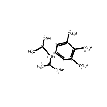 COC(C)NC(C)OC.O=C(O)c1cccc(C(=O)O)c1C(=O)O